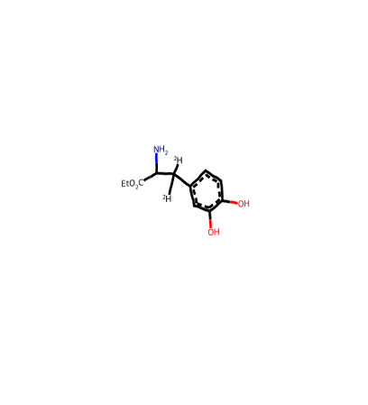 [2H]C([2H])(c1ccc(O)c(O)c1)C(N)C(=O)OCC